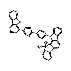 CC1(C)c2ccccc2-c2ccc3c4ccccc4n(-c4ccc(-c5ccc(-c6cccc7c6oc6ccccc67)cc5)cc4)c3c21